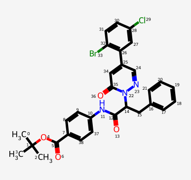 CC(C)(C)OC(=O)c1ccc(NC(=O)C(Cc2ccccc2)n2ncc(-c3cc(Cl)ccc3Br)cc2=O)cc1